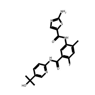 Cc1cc(F)c(C(=O)Nc2ccc(C(C)(C)O)cn2)cc1NC(=O)c1cnc(N)s1